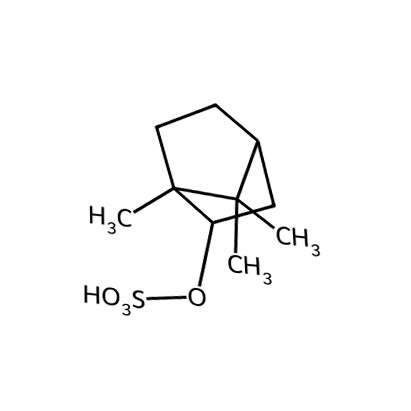 CC1(C)C2CCC1(C)C(OS(=O)(=O)O)C2